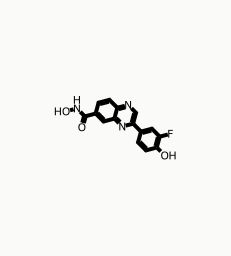 O=C(NO)c1ccc2ncc(-c3ccc(O)c(F)c3)nc2c1